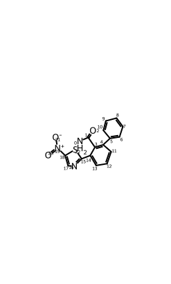 NC(=O)c1c(-c2ccccc2)cccc1-c1ncc([N+](=O)[O-])s1